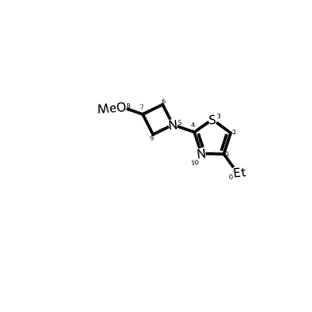 CCc1csc(N2CC(OC)C2)n1